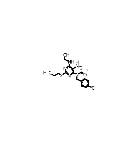 CCCSc1nc(NCC)c(NC)c(N(C=O)Cc2ccc(Cl)cc2)n1